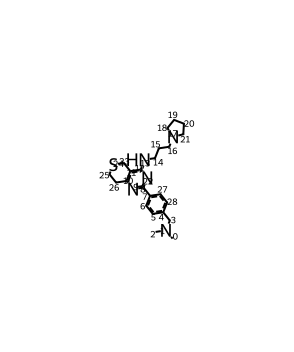 CN(C)Cc1ccc(-c2nc3c(c(NCCCN4CCCC4)n2)CSCC3)cc1